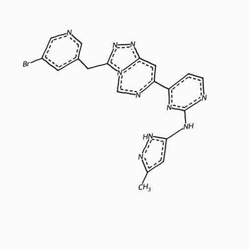 Cc1cc(Nc2nccc(-c3cc4nnc(Cc5cncc(Br)c5)n4cn3)n2)[nH]n1